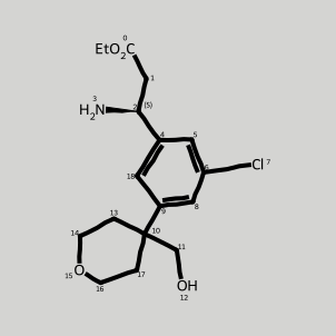 CCOC(=O)C[C@H](N)c1cc(Cl)cc(C2(CO)CCOCC2)c1